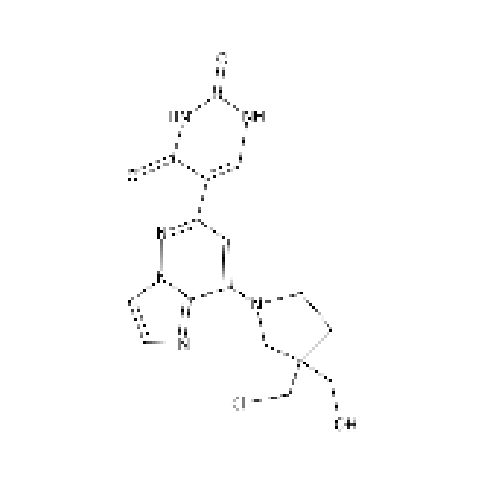 O=c1[nH]cc(-c2cc(N3CCC(CO)(CCl)C3)c3nccn3n2)c(=O)[nH]1